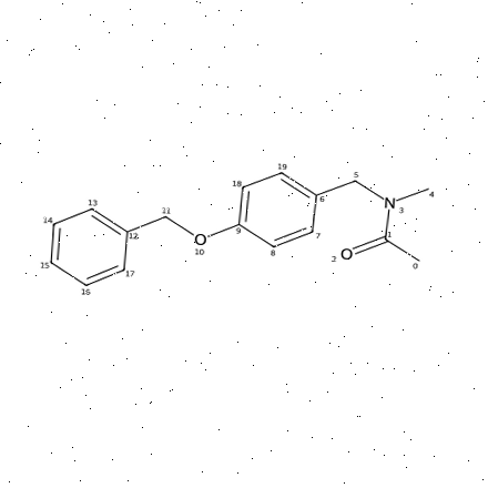 CC(=O)N(C)Cc1ccc(OCc2ccccc2)cc1